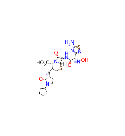 Nc1nc(/C(=N\O)C(=O)N[C@@H]2C(=O)N3C(C(=O)O)=C(/C=C4\CCN(C5CCCC5)C4=O)CS[C@H]23)ns1